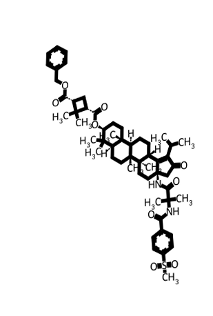 CC(C)C1=C2[C@H]3CC[C@@H]4[C@@]5(C)CC[C@H](OC(=O)[C@H]6C[C@@H](C(=O)OCc7ccccc7)C6(C)C)C(C)(C)[C@@H]5CC[C@@]4(C)[C@]3(C)CC[C@@]2(NC(=O)C(C)(C)NC(=O)c2ccc(S(C)(=O)=O)cc2)CC1=O